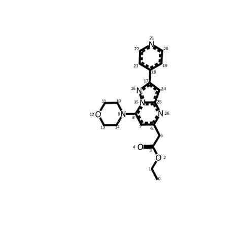 CCOC(=O)Cc1cc(N2CCOCC2)n2nc(-c3ccncc3)cc2n1